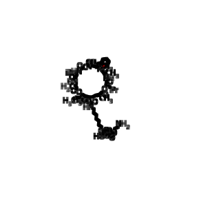 C/C=C(\C)[C@H]1OC(=O)[C@@H](C)NC(=O)[C@H](C(C)CC)NC(=O)CN(C)C(=O)[C@@H](Cc2ccccc2)N(C)C(=O)[C@H](C)NC(=O)[C@@H](CC(C)C)OC(=O)/C(C)=C/C[C@H](OC(=O)NCCCCCCCOP(=O)(O)OP(=O)(O)OCCN)[C@@H]1C